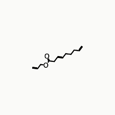 C=CCCC/C=C/CC(=O)OCC=C